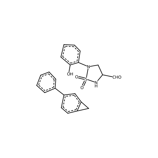 O=CC1CN(c2ccccc2O)S(=O)(=O)N1.c1ccc(-c2ccc3c(c2)C3)cc1